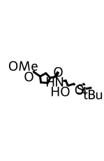 COC(=O)C1CCC(C(=O)NCC(O)CO[Si](C)(C)C(C)(C)C)C1